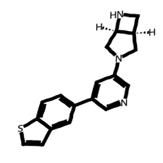 c1cc2cc(-c3cncc(N4C[C@@H]5CN[C@@H]5C4)c3)ccc2s1